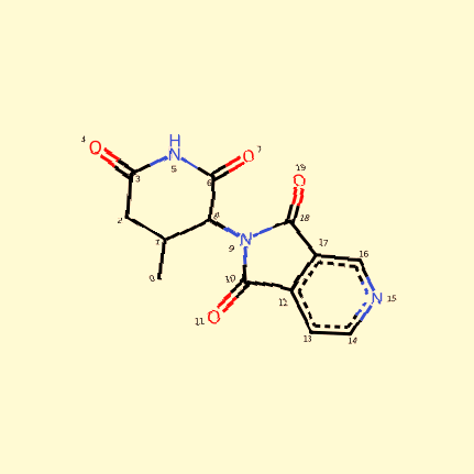 CC1CC(=O)NC(=O)C1N1C(=O)c2ccncc2C1=O